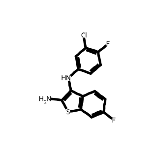 Nc1sc2cc(F)ccc2c1Nc1ccc(F)c(Cl)c1